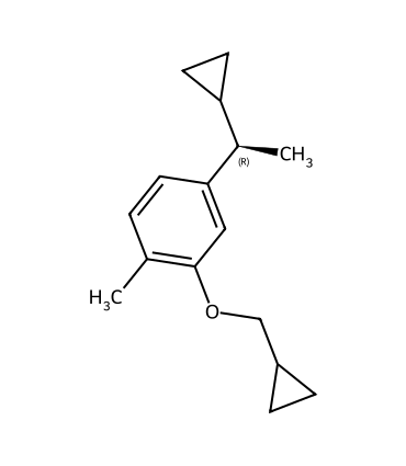 Cc1ccc([C@H](C)C2CC2)cc1OCC1CC1